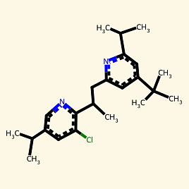 CC(C)c1cnc(C(C)Cc2cc(C(C)(C)C)cc(C(C)C)n2)c(Cl)c1